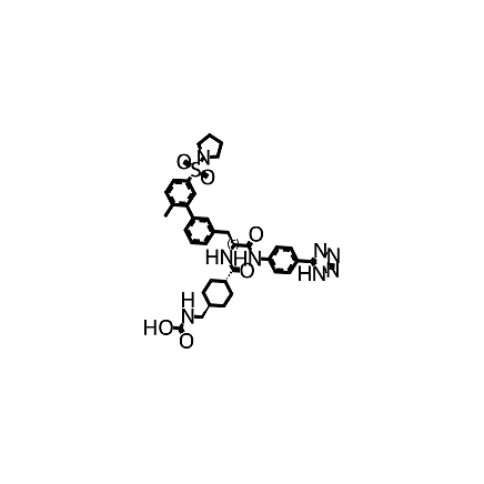 Cc1ccc(S(=O)(=O)N2CCCC2)cc1-c1cccc(C[C@H](NC(=O)[C@H]2CC[C@H](CNC(=O)O)CC2)C(=O)Nc2ccc(-c3nnn[nH]3)cc2)c1